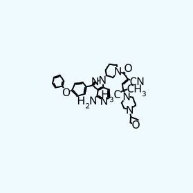 CC(C)(C=C(C#N)C(=O)N1CCC[C@@H](n2nc(-c3ccc(Oc4ccccc4)cc3)c3c(N)nccc32)C1)N1CCN(C2COC2)CC1